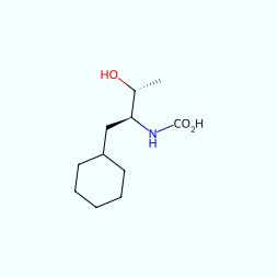 C[C@@H](O)[C@H](CC1CCCCC1)NC(=O)O